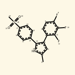 Cc1cc(-c2ccc(F)c(F)c2F)c(-c2ccc(S(C)(=O)=O)cc2)[nH]1